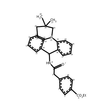 CCOC(=O)c1ccc(CC(=O)NC(c2ccccc2)c2ccccc2N2CCCC(C)(C)C2)cc1